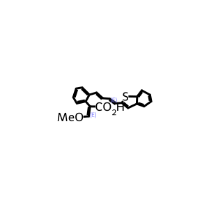 CO/C=C(/C(=O)O)c1ccccc1C=C/C=C/c1cc2ccccc2s1